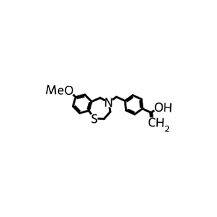 C=C(O)c1ccc(CN2CCSc3ccc(OC)cc3C2)cc1